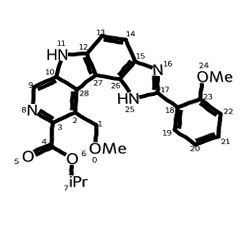 COCc1c(C(=O)OC(C)C)ncc2[nH]c3ccc4nc(-c5ccccc5OC)[nH]c4c3c12